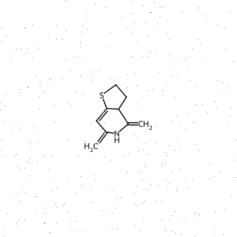 C=C1C=C2SCCC2C(=C)N1